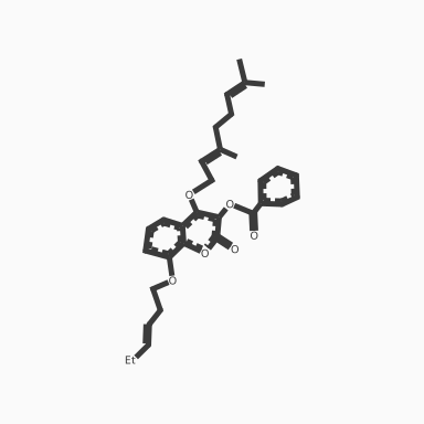 CCC=CCCOc1cccc2c(OC/C=C(\C)CCC=C(C)C)c(OC(=O)c3ccccc3)c(=O)oc12